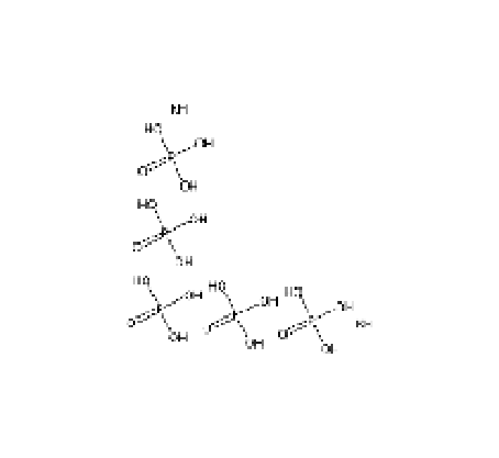 O=P(O)(O)O.O=P(O)(O)O.O=P(O)(O)O.O=P(O)(O)O.O=P(O)(O)O.[KH].[KH]